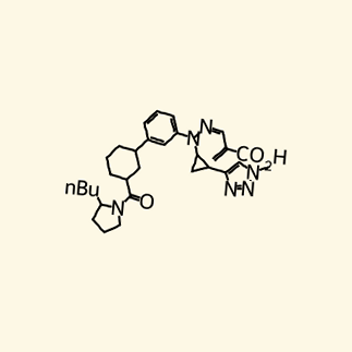 C=C(/C=N\N(c1cccc(C2CCCC(C(=O)N3CCCC3CCCC)C2)c1)C1CC1c1cn(C)nn1)C(=O)O